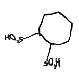 O=S(=O)(O)[C]1CCCC[C]1S(=O)(=O)O